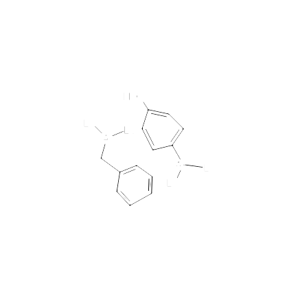 C[CH2][Al]([CH2]C)[CH2]c1ccccc1.C[CH2][Al]([CH2]C)[c]1ccc(C)cc1